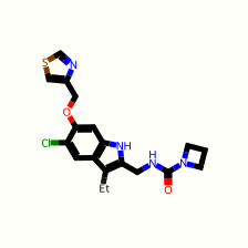 CCc1c(CNC(=O)N2CCC2)[nH]c2cc(OCc3cscn3)c(Cl)cc12